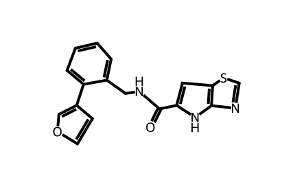 O=C(NCc1ccccc1-c1ccoc1)c1cc2scnc2[nH]1